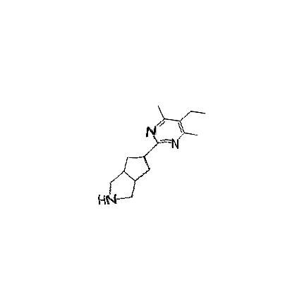 CCc1c(C)nc(C2CC3CNCC3C2)nc1C